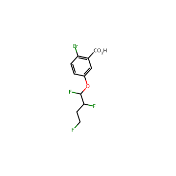 O=C(O)c1cc(OC(F)C(F)CCF)ccc1Br